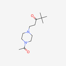 CC(=O)N1CCN(CCC(=O)C(C)(C)C)CC1